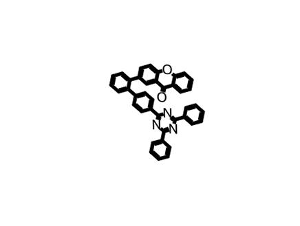 O=c1c2ccccc2oc2ccc(-c3ccccc3-c3ccc(-c4nc(-c5ccccc5)nc(-c5ccccc5)n4)cc3)cc12